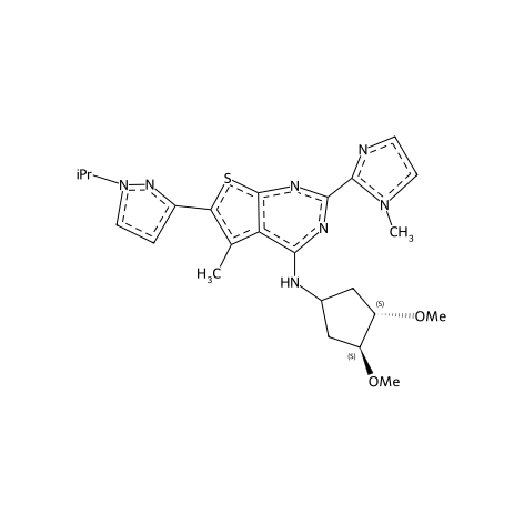 CO[C@H]1CC(Nc2nc(-c3nccn3C)nc3sc(-c4ccn(C(C)C)n4)c(C)c23)C[C@@H]1OC